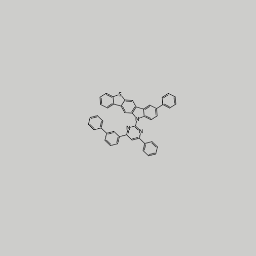 c1ccc(-c2cccc(-c3cc(-c4ccccc4)nc(-n4c5ccc(-c6ccccc6)cc5c5cc6sc7ccccc7c6cc54)n3)c2)cc1